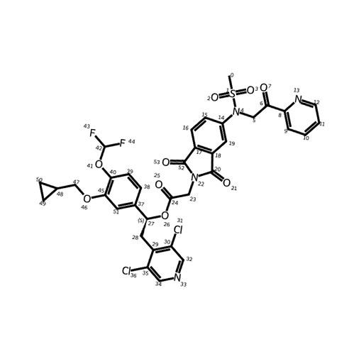 CS(=O)(=O)N(CC(=O)c1ccccn1)c1ccc2c(c1)C(=O)N(CC(=O)O[C@@H](Cc1c(Cl)cncc1Cl)c1ccc(OC(F)F)c(OCC3CC3)c1)C2=O